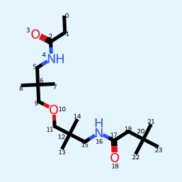 CCC(=O)NCC(C)(C)COCC(C)(C)CNC(=O)CC(C)(C)C